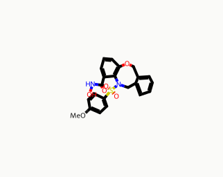 COc1ccc(S(=O)(=O)N2Cc3ccccc3COc3cccc(C(=O)NO)c32)cc1